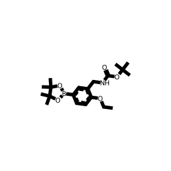 CCOc1ccc(B2OC(C)(C)C(C)(C)O2)cc1CNC(=O)OC(C)(C)C